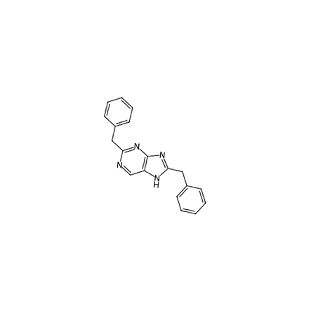 c1ccc(Cc2ncc3[nH]c(Cc4ccccc4)nc3n2)cc1